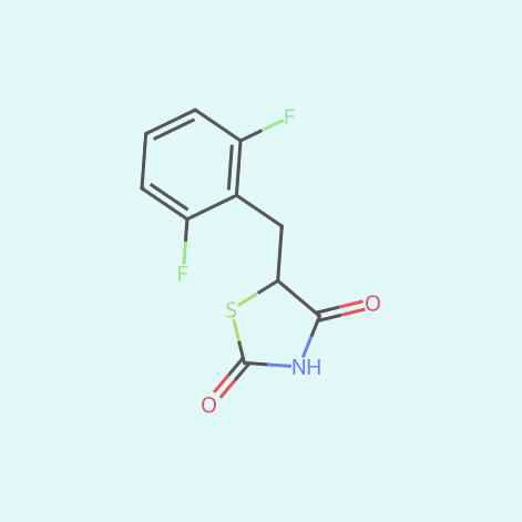 O=C1NC(=O)C(Cc2c(F)cccc2F)S1